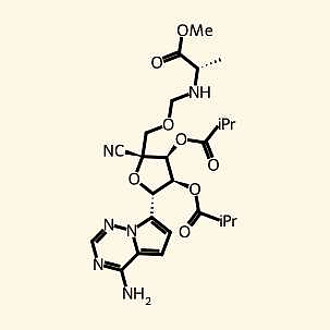 COC(=O)[C@H](C)NCOC[C@@]1(C#N)O[C@@H](c2ccc3c(N)ncnn23)[C@H](OC(=O)C(C)C)[C@@H]1OC(=O)C(C)C